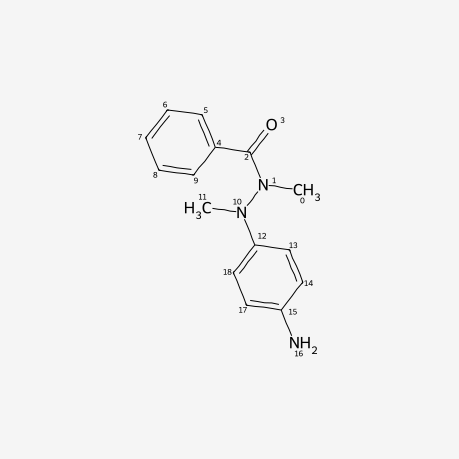 CN(C(=O)c1ccccc1)N(C)c1ccc(N)cc1